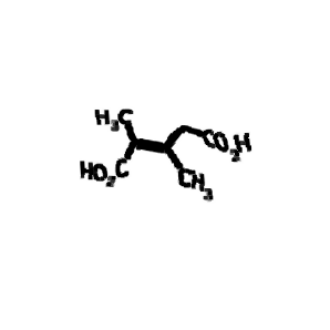 C/C(CC(=O)O)=C(/C)C(=O)O